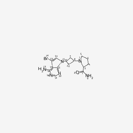 NC(=O)C1CCCN1C1CC(n2cc(Br)c3c(N)ncnc32)C1